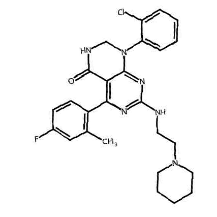 Cc1cc(F)ccc1-c1nc(NCCN2CCCCC2)nc2c1C(=O)NCN2c1ccccc1Cl